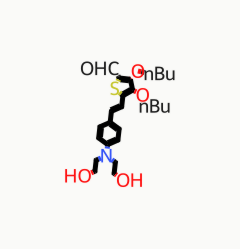 CCCCOc1c(C=O)sc(/C=C/c2ccc(N(CCO)CCO)cc2)c1OCCCC